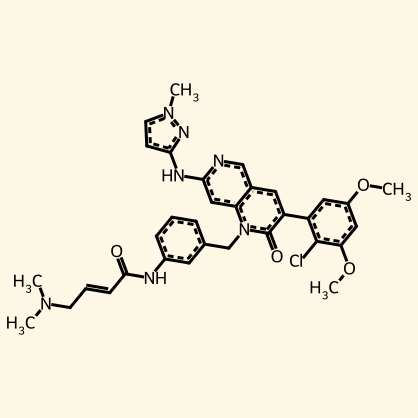 COc1cc(OC)c(Cl)c(-c2cc3cnc(Nc4ccn(C)n4)cc3n(Cc3cccc(NC(=O)/C=C/CN(C)C)c3)c2=O)c1